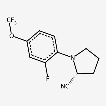 N#C[C@H]1CCCN1c1ccc(OC(F)(F)F)cc1F